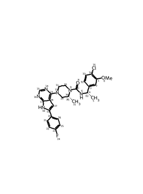 COc1cc([C@H](C)NC(=O)N2CCN(c3ncnc4[nH]c(-c5ccc(F)cc5)cc34)C[C@H]2C)ccc1Cl